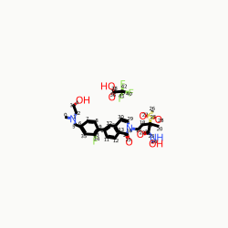 CN(CCO)Cc1ccc(-c2ccc3c(=O)n(CCC(C)(C(=O)NO)S(C)(=O)=O)ccc3c2)c(F)c1.O=C(O)C(F)(F)F